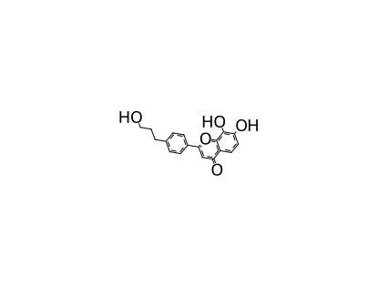 O=c1cc(-c2ccc(CCCO)cc2)oc2c(O)c(O)ccc12